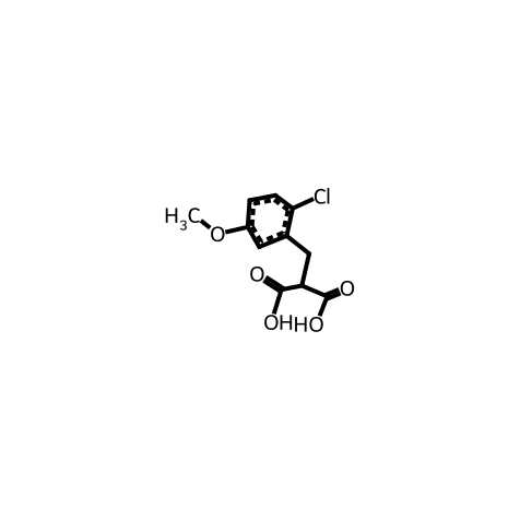 COc1ccc(Cl)c(CC(C(=O)O)C(=O)O)c1